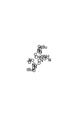 C=CC(=O)N(C)c1cccc(-c2cnc3c(c2)c(-c2cccc(C#N)c2)cn3C(C)OC(=O)C(C)(C)C)c1.CC(OC(=O)C(C)(C)C)n1cc(-c2cccc(C#N)c2)c2cc(-c3cncc(NC(=O)C=CCN(C)C)c3)cnc21